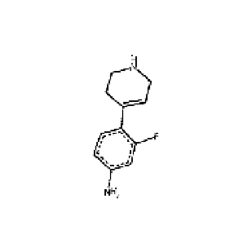 Nc1ccc(C2=CCNCC2)c(F)c1